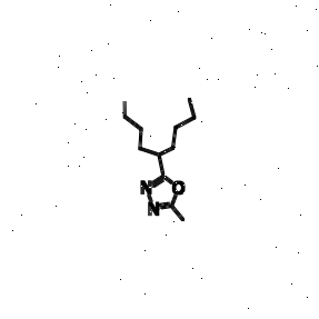 CCCCC(CCCC)c1nnc(C)o1